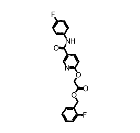 O=C(COc1ccc(C(=O)Nc2ccc(F)cc2)cn1)OCc1ccccc1F